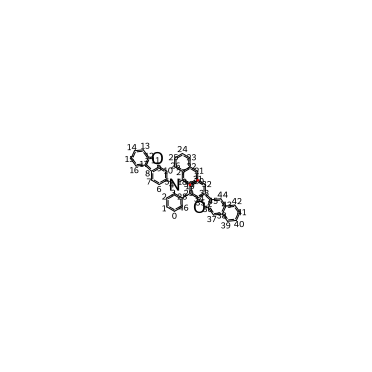 c1ccc(N(c2ccc3c(c2)oc2ccccc23)c2cccc3ccccc23)c(-c2cccc3c2oc2cc4ccccc4cc23)c1